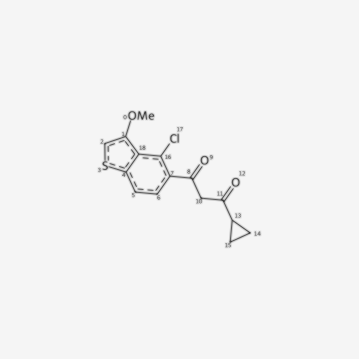 COc1csc2ccc(C(=O)CC(=O)C3CC3)c(Cl)c12